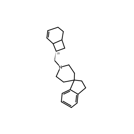 C1=CC2C(CC1)C[C@@H]2CN1CCC2(CCc3ccccc32)CC1